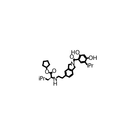 CC(C)C[C@H](NCCc1ccc2c(c1)CN(C(=O)c1cc(C(C)C)c(O)cc1O)C2)C(=O)OC1CCCC1